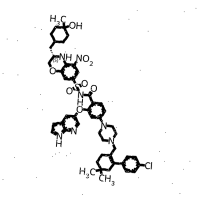 CC1(C)CCC(CN2CCN(c3ccc(C(=O)NS(=O)(=O)c4cc5c(c([N+](=O)[O-])c4)N[C@@H](CC4CCC(C)(O)CC4)CO5)c(Oc4cnc5[nH]ccc5c4)c3)CC2)=C(c2ccc(Cl)cc2)C1